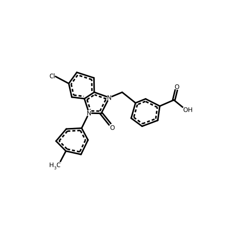 Cc1ccc(-n2c(=O)n(Cc3cccc(C(=O)O)c3)c3ccc(Cl)cc32)cc1